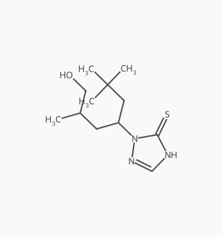 CC(CO)CC(CC(C)(C)C)n1nc[nH]c1=S